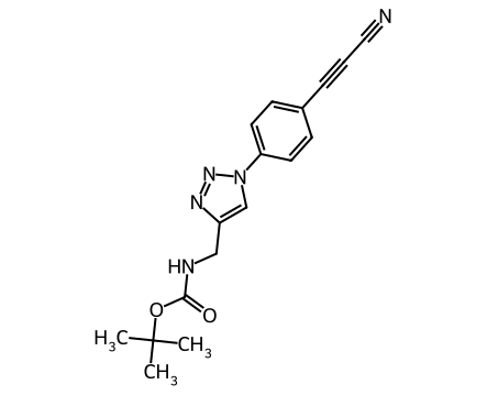 CC(C)(C)OC(=O)NCc1cn(-c2ccc(C#CC#N)cc2)nn1